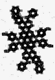 CC(C)(C)c1ccc(Oc2cc3c4c(cc(Oc5ccc(C(C)(C)C)cc5)c5c6c(Oc7ccc(C(C)(C)C)cc7)cc7c8c(cc(Oc9ccc(C(C)(C)C)cc9)c(c2c45)c86)C(=O)N(C(C(=O)Nc2cccnc2)c2ccc4oc5ccccc5c4c2)C7=O)C(=O)N(C(C(=O)Nc2cccnc2)c2ccc4oc5ccccc5c4c2)C3=O)cc1